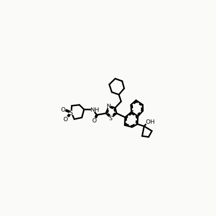 O=C(NC1CCS(=O)(=O)CC1)c1nc(CC2CCCCC2)c(-c2ccc(C3(O)CCC3)c3ccccc23)s1